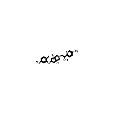 COc1ccc(F)c(OC2C[C@@H]3CN(CC(O)c4ccc(O)cn4)C[C@@H]3C2)c1